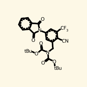 CC(C)(C)OC(=O)N(Cc1cc(N2C(=O)c3ccccc3C2=O)cc(C(F)(F)F)c1C#N)C(=O)OC(C)(C)C